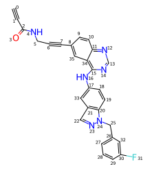 C#CC(=O)NCC#Cc1ccc2ncnc(Nc3ccc4c(cnn4Cc4cccc(F)c4)c3)c2c1